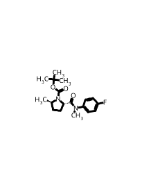 C[C@@H]1CC[C@@H](C(=O)N(C)c2ccc(F)cc2)N1C(=O)OC(C)(C)C